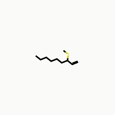 [CH]=CC(CCCCCC)SC